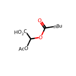 CCCCC(=O)OC(OC(C)=O)C(=O)O